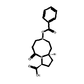 O=C(ON1CCC(=O)N2[C@H](CC[C@H]2C(=O)O)CC1)c1ccccc1